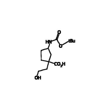 CC(C)(C)OC(=O)NC1CCC(CCO)(C(=O)O)C1